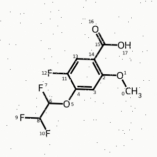 COc1cc(OC(F)C(F)F)c(F)cc1C(=O)O